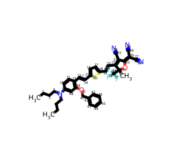 CCCCN(CCCC)c1ccc(/C=C/c2ccc(/C=C/C3=C(C#N)C(=C(C#N)C#N)OC3(C)C(F)(F)F)s2)c(OCc2ccccc2)c1